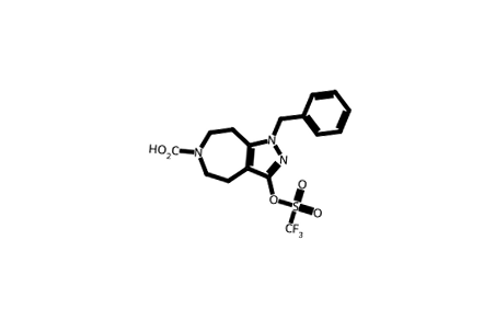 O=C(O)N1CCc2c(OS(=O)(=O)C(F)(F)F)nn(Cc3ccccc3)c2CC1